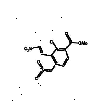 COC(=O)c1ccc(C=S(=O)=O)c(C=C[N+](=O)[O-])c1Cl